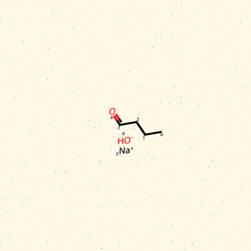 CCCC=O.[Na+].[OH-]